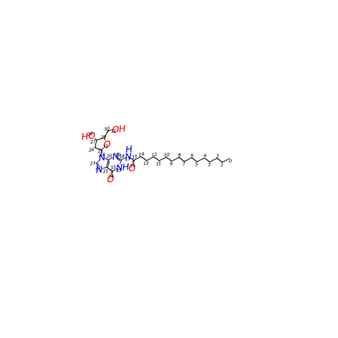 CCCCCCCCCCCCCCCC(=O)Nc1nc2c(ncn2[C@H]2CC(O)[C@@H](CO)O2)c(=O)[nH]1